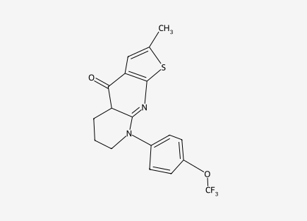 Cc1cc2c(s1)N=C1C(CCCN1c1ccc(OC(F)(F)F)cc1)C2=O